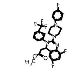 COC(=O)CC1c2cc(F)cc(F)c2N=C(N2CCN(c3ccc(F)cc3)CC2)N1c1cccc(C(F)(F)F)c1